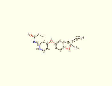 O=C1CCc2c(Oc3ccc4c(c3)C3[C@@H](O4)[C@@H]3C(=O)O)ccnc2N1